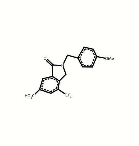 COc1ccc(CN2Cc3c(cc(C(=O)O)cc3C(F)(F)F)C2=O)cc1